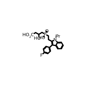 CC(C)n1c(CCP(=O)(O)CC(O)CC(=O)O)c(-c2ccc(F)cc2)c2ccccc21